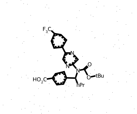 CCCC(c1ccc(C(=O)O)cc1)N(C(=O)OC(C)(C)C)c1cnc(-c2ccc(C(F)(F)F)cc2)cn1